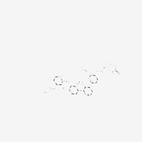 C[C@H](O)CNCc1ccnc(Nc2cccc(-c3nccc(-c4ccc(CNC[C@H]5CCC(=O)N5)c(OC(F)F)n4)c3Cl)c2Cl)c1F